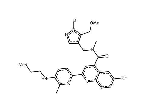 CCn1ncc(CN(C)C(=O)c2cc(-c3ccc(NCCNC)c(C)n3)nc3ccc(O)cc23)c1COC